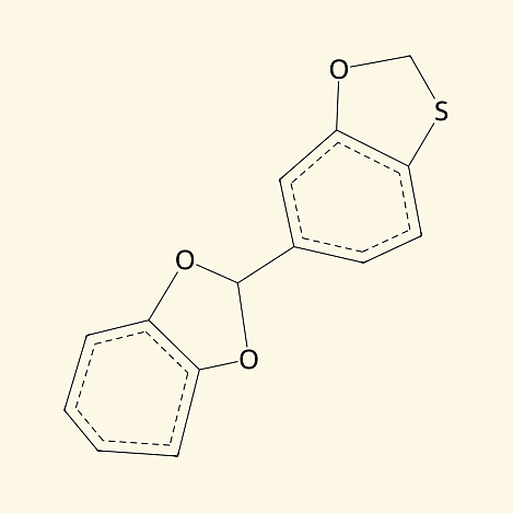 c1ccc2c(c1)OC(c1ccc3c(c1)OCS3)O2